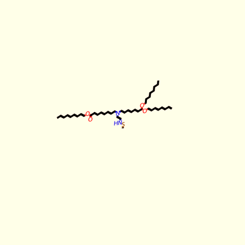 CCCCCCCCCOC(=O)CCCCCCCN(CCCCCCC(OCCCCCCCC)OCCCCCCCC)CCNSC